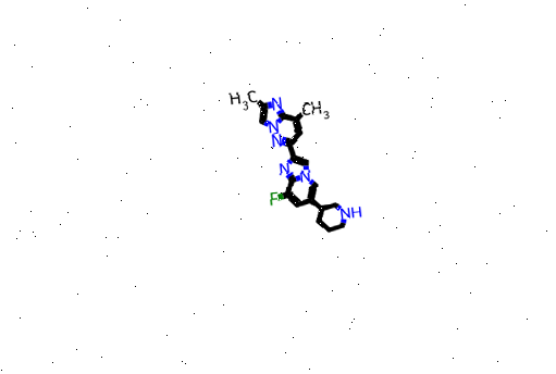 Cc1cn2nc(-c3cn4cc(C5CCCNC5)cc(F)c4n3)cc(C)c2n1